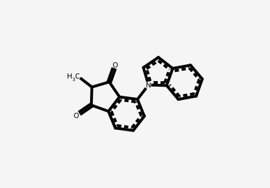 CC1C(=O)c2cccc(-n3ccc4ccccc43)c2C1=O